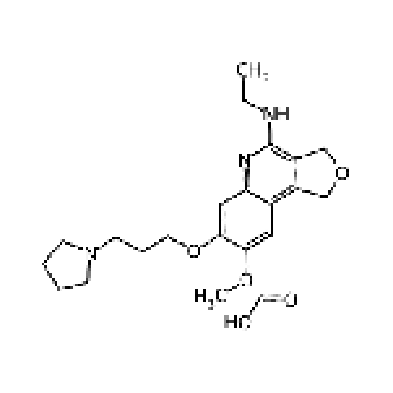 CCNc1nc2cc(OCCCN3CCCC3)c(OC)cc2c2c1COC2.O=CO